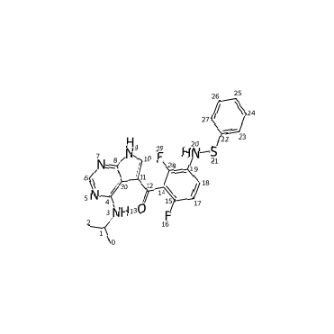 CC(C)Nc1ncnc2[nH]cc(C(=O)c3c(F)ccc(NSc4ccccc4)c3F)c12